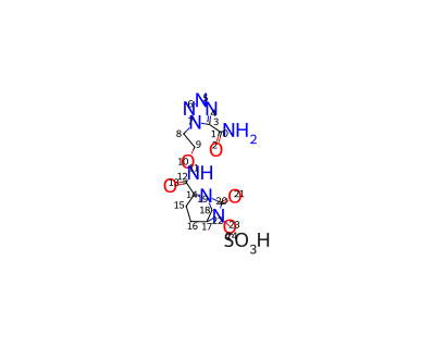 NC(=O)c1nnnn1CCONC(=O)C1CCC2CN1C(=O)N2OS(=O)(=O)O